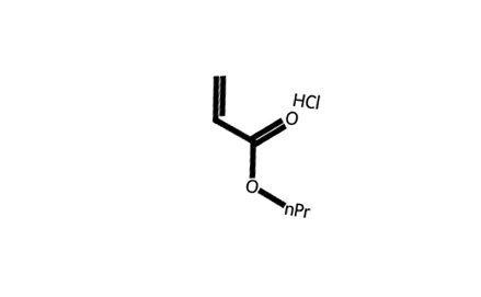 C=CC(=O)OCCC.Cl